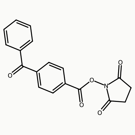 O=C(ON1C(=O)CCC1=O)c1ccc(C(=O)c2ccccc2)cc1